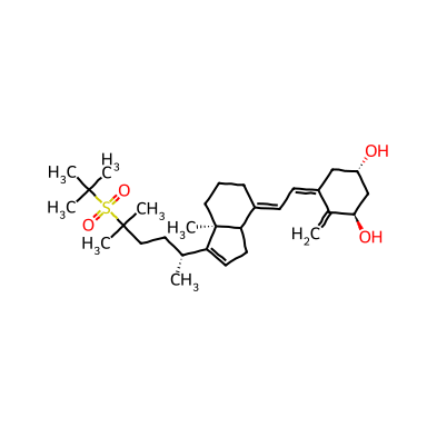 C=C1/C(=C\C=C2/CCC[C@]3(C)C([C@H](C)CCC(C)(C)S(=O)(=O)C(C)(C)C)=CCC23)C[C@H](O)C[C@H]1O